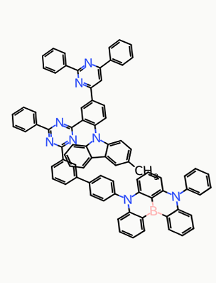 Cc1ccc2c(c1)c1ccccc1n2-c1ccc(-c2cc(-c3ccccc3)nc(-c3ccccc3)n2)cc1-c1nc(-c2ccccc2)nc(-c2cccc(-c3ccc(N4c5ccccc5B5c6ccccc6N(c6ccccc6)c6cccc4c65)cc3)c2)n1